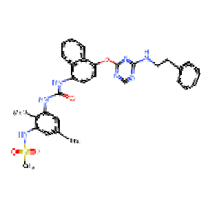 COc1c(NC(=O)Nc2ccc(Oc3ncnc(NCCc4ccccc4)n3)c3ccccc23)cc(C(C)(C)C)cc1NS(C)(=O)=O